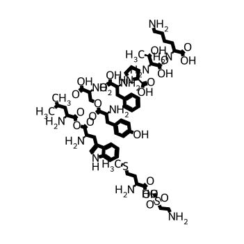 CC(C)C[C@H](N)C(=O)OC(=O)[C@@H](N)Cc1c[nH]c2ccccc12.CSCC[C@H](N)C(=O)O.C[C@@H](O)[C@H](N)C(=O)O.NCCCC[C@H](N)C(=O)O.NCCS(=O)(=O)O.N[C@@H](COC(=O)[C@@H](N)Cc1ccc(O)cc1)C(=O)O.N[C@@H](Cc1ccccc1)C(=O)O.O=C(O)[C@@H]1CCCN1